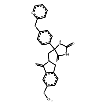 COc1ccc2c(c1)C(=O)N(CC1(c3ccc(Oc4ccccn4)cc3)NC(=O)NC1=O)C2